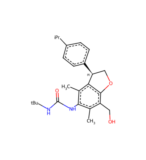 Cc1c(CO)c2c(c(C)c1NC(=O)NC(C)(C)C)[C@@H](c1ccc(C(C)C)cc1)CO2